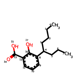 CCCCC(CCC)c1cccc(C(=O)O)c1O